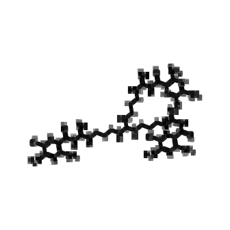 N=C(NCCCNC(NCCCNC(=N)NC(=O)c1nc(Cl)c(N)nc1N)NCCCNC(=N)NC(=O)c1nc(Cl)c(N)nc1N)NC(=O)c1nc(Cl)c(N)nc1N